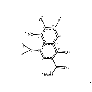 COC(=O)c1cn(C2CC2)c2c(C#N)c(Cl)c(F)cc2c1=O